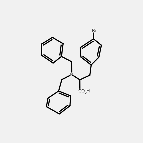 O=C(O)C(Cc1ccc(Br)cc1)N(Cc1ccccc1)Cc1ccccc1